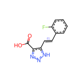 O=C(O)c1nn[nH]c1/C=C/c1ccccc1F